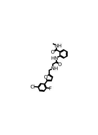 CNC(=O)c1ccccc1NC(=O)CNCc1ccc(-c2cc(Cl)ccc2F)o1